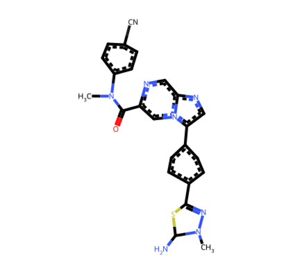 CN(C(=O)c1cn2c(-c3ccc(C4=NN(C)C(N)S4)cc3)cnc2cn1)c1ccc(C#N)cc1